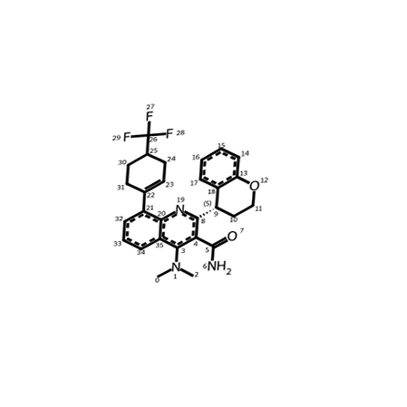 CN(C)c1c(C(N)=O)c([C@H]2CCOc3ccccc32)nc2c(C3=CCC(C(F)(F)F)CC3)cccc12